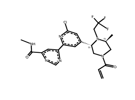 C=CC(=O)N1C[C@H](c2cc(Cl)nc(-c3cc(C(=O)NC)ncn3)c2)N(CC(F)(F)F)[C@@H](C)C1